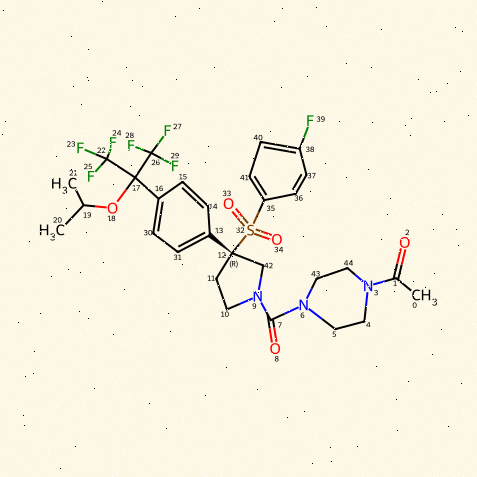 CC(=O)N1CCN(C(=O)N2CC[C@](c3ccc(C(OC(C)C)(C(F)(F)F)C(F)(F)F)cc3)(S(=O)(=O)c3ccc(F)cc3)C2)CC1